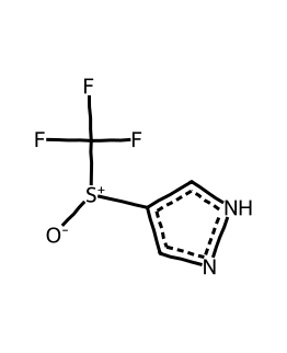 [O-][S+](c1cn[nH]c1)C(F)(F)F